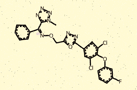 Cn1nnnc1/C(=N\OCc1nnc(-c2cc(Cl)c(Oc3cccc(F)c3)c(Cl)c2)o1)c1ccccc1